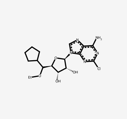 CCOC(C1CCCC1)[C@H]1O[C@@H](n2cnc3c(N)nc(Cl)nc32)[C@H](O)[C@@H]1O